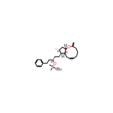 C=C1CCC/C=C\C[C@@H]2[C@@H](CC[C@H](CCc3ccccc3)O[Si](C)(C)C(C)(C)C)[C@H](C)C[C@@H]2O1